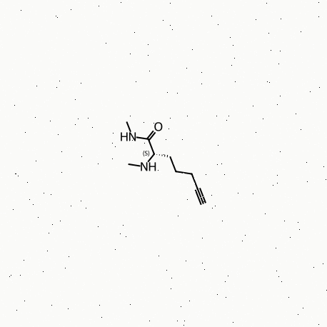 C#CCCC[C@H](NC)C(=O)NC